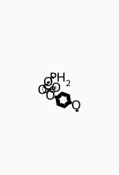 COc1ccc(O[Se](=O)(=O)OP)cc1